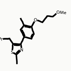 COCCCOc1ccc(-c2nc(C)sc2CC(C)C)cc1C